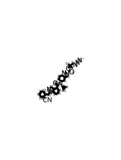 CC(C)(CN=[N+]=[N-])OC(=O)n1cc2c(n1)CCC(N(C(=O)c1cccc3c1cnn3Cc1ccccc1C#N)C1CC1)C2